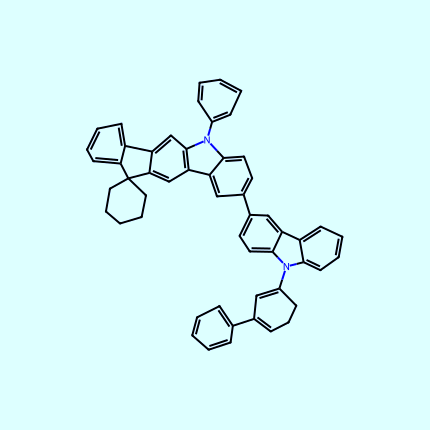 C1=C(c2ccccc2)C=C(n2c3ccccc3c3cc(-c4ccc5c(c4)c4cc6c(cc4n5-c4ccccc4)-c4ccccc4C64CCCCC4)ccc32)CC1